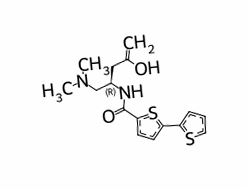 C=C(O)C[C@H](CN(C)C)NC(=O)c1ccc(-c2cccs2)s1